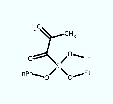 C=C(C)C(=O)[Si](OCC)(OCC)OCCC